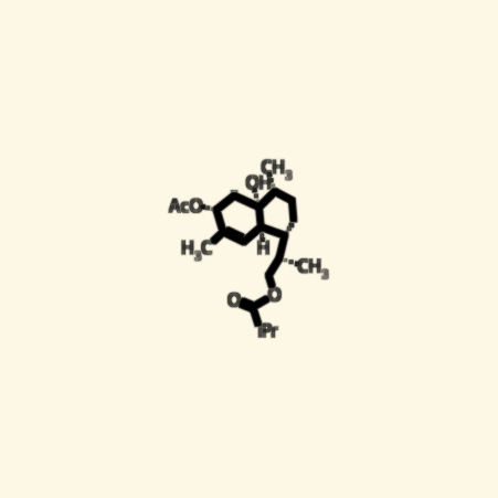 CC(=O)O[C@@H]1[C][C@@]2(O)[C@H](C)CC[C@H]([C@H](C)COC(=O)C(C)C)[C@H]2C=C1C